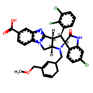 COCC1=CC(CN2[C@@H]3Cn4c(nc5cc(C(=O)O)ccc54)[C@@H]3[C@@H](c3cccc(Cl)c3F)[C@@]23C(=O)Nc2cc(Cl)ccc23)CC=C1